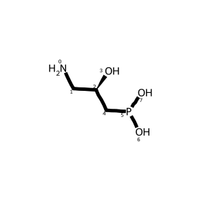 NC[C@@H](O)CP(O)O